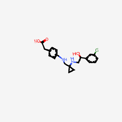 O=C(O)Cc1ccc(NCC2(NCC(O)c3cccc(Cl)c3)CC2)cc1